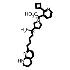 O=C(O)[C@@H](c1cccnc1C1CCC1)N1CCC([C@H](P)CCCCc2ccc3c(n2)NCCC3)C1